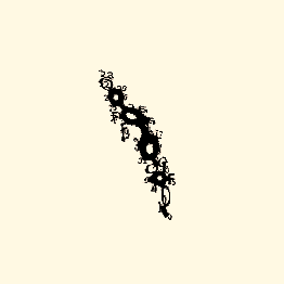 CCOc1ccc(OC(=O)c2ccc(-c3ccc(-c4ccc(OC)cc4)c(F)c3F)cc2)c(F)c1F